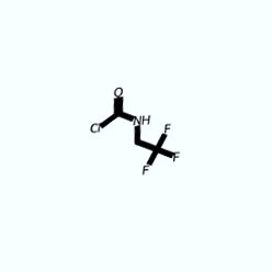 O=C(Cl)NCC(F)(F)F